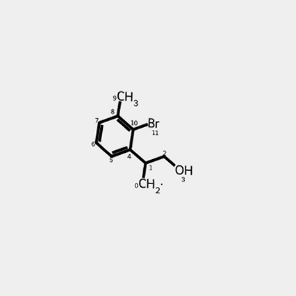 [CH2]C(CO)c1cccc(C)c1Br